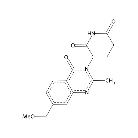 COCc1ccc2c(=O)n(C3CCC(=O)NC3=O)c(C)nc2c1